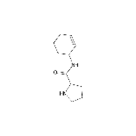 O=C(NC1C=CCCC1)C1CCCN1